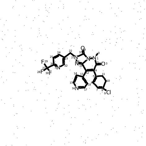 Cn1c(=O)c(C2=CC=C(Cl)CC2)c(-c2ccncc2)c2nn(Cc3ccc(C(F)(F)F)nc3)c(=O)n21